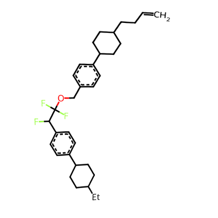 C=CCCC1CCC(c2ccc(COC(F)(F)C(F)c3ccc(C4CCC(CC)CC4)cc3)cc2)CC1